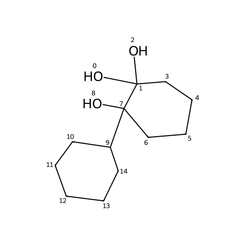 OC1(O)CCCCC1(O)C1CCCCC1